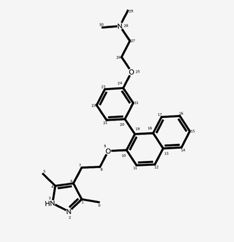 Cc1n[nH]c(C)c1CCOc1ccc2ccccc2c1-c1cccc(OCCN(C)C)c1